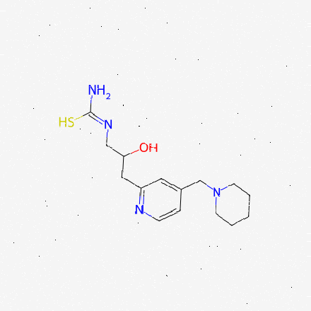 NC(S)=NCC(O)Cc1cc(CN2CCCCC2)ccn1